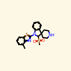 Cc1cccc2sc(N3c4ccccc4C4(CCNCC4)C3S(C)(=O)=O)nc12